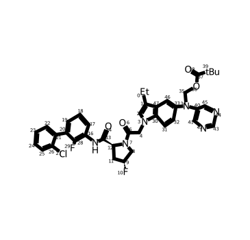 CCc1cn(CC(=O)N2C[C@H](F)C[C@H]2C(=O)Nc2cccc(-c3ccccc3Cl)c2F)c2ccc(N(COC(=O)C(C)(C)C)c3cncnc3)cc12